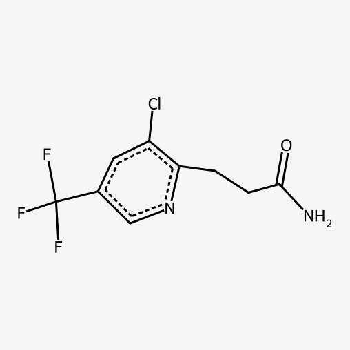 NC(=O)CCc1ncc(C(F)(F)F)cc1Cl